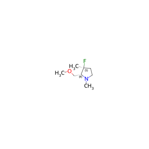 COC[C@H]1N(C)CC[C@]1(C)F